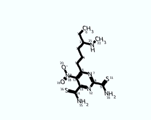 CCC(CCCc1nc(C(N)=S)nc(C(N)=S)c1[N+](=O)[O-])NC